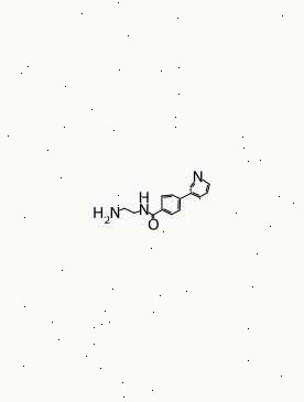 NCCNC(=O)c1ccc(-c2cccnc2)cc1